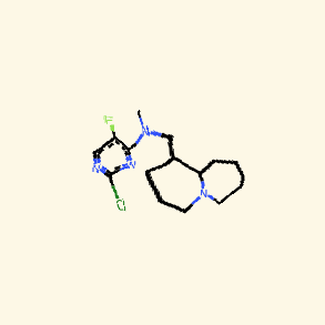 CN(CC1CCCN2CCCCC12)c1nc(Cl)ncc1F